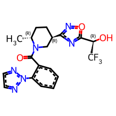 C[C@@H]1CC[C@@H](c2noc([C@@H](O)C(F)(F)F)n2)CN1C(=O)c1ccccc1-n1nccn1